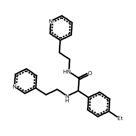 CCc1ccc(C(NCCc2cccnc2)C(=O)NCCc2cccnc2)cc1